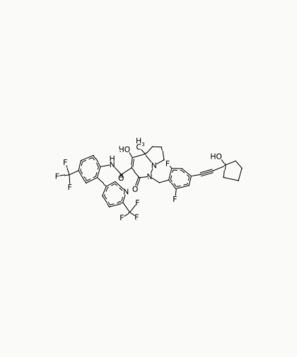 CC12CCCN1N(Cc1c(F)cc(C#CC3(O)CCCC3)cc1F)C(=O)C(C(=O)Nc1ccc(C(F)(F)F)cc1-c1ccc(C(F)(F)F)nc1)=C2O